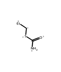 C[CH]CSC(N)=O